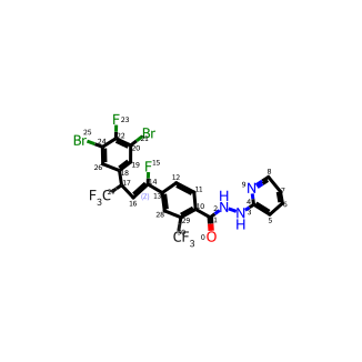 O=C(NNc1ccccn1)c1ccc(/C(F)=C/C(c2cc(Br)c(F)c(Br)c2)C(F)(F)F)cc1C(F)(F)F